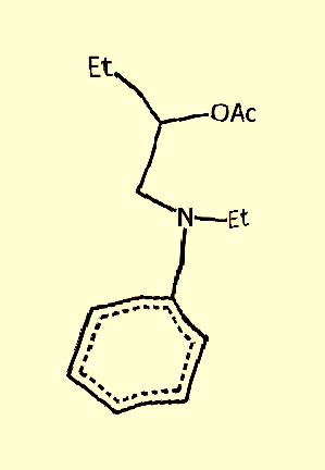 CCC(CN(CC)c1ccccc1)OC(C)=O